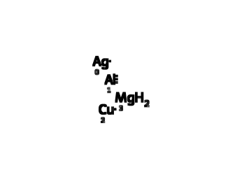 [Ag].[Al].[Cu].[MgH2]